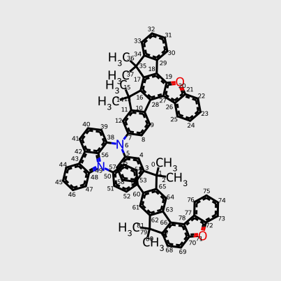 CC1(C)c2cc(N(c3ccc4c(c3)C(C)(C)c3c5c(c6oc7ccccc7c6c3-4)-c3ccccc3C5(C)C)c3cccc4c5ccccc5n(-c5ccccc5)c34)ccc2-c2cc3c(cc21)-c1c(ccc2oc4ccccc4c12)C3(C)C